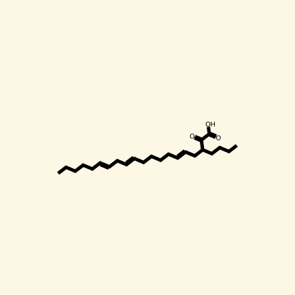 CCCCCC=CCC=CCCCCC=CCC(CCCC)C(=O)C(=O)O